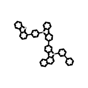 c1ccc(-c2cccc(-n3c4cc(-c5ccc6c7ccccc7n(-c7ccc(-c8cccc9c8oc8ccccc89)cc7)c6c5)ccc4c4c5ccccc5ccc43)c2)cc1